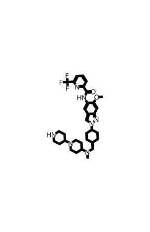 COc1cc2nn(C3CCC(CN(C)C4CCN(C5CCNCC5)CC4)CC3)cc2cc1NC(=O)c1cccc(C(F)(F)F)n1